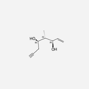 C#CC[C@@H](O)[C@H](C)[C@H](O)C=C